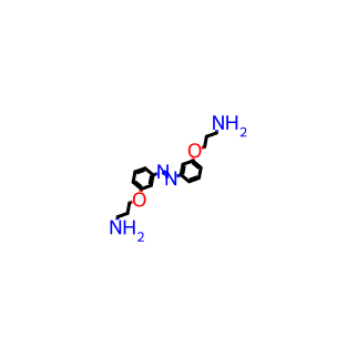 NCCCOc1cccc(/N=N/c2cccc(OCCCN)c2)c1